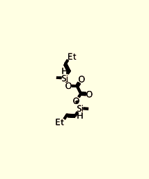 CCC=C[SiH](C)OC(=O)C(=O)O[SiH](C)C=CCC